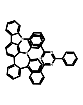 c1ccc(-c2nc(-c3ccccc3)nc(-c3cccc(-n4c5ccccc5c5ccc6c(c54)N(c4ccccc4)c4ccccc4-c4ccccc4-6)c3)n2)cc1